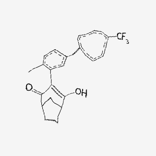 Cc1ccc(-c2ccc(C(F)(F)F)cc2)cc1C1=C(O)C2CCC(C2)C1=O